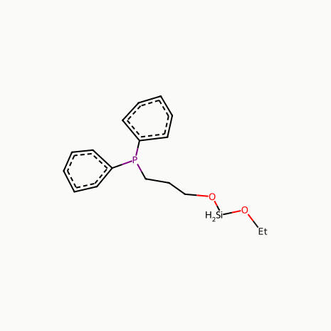 CCO[SiH2]OCCCP(c1ccccc1)c1ccccc1